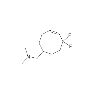 CN(C)CC1CC/C=C\C(F)(F)CC1